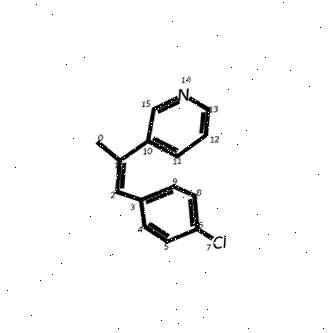 CC(=Cc1ccc(Cl)cc1)c1cccnc1